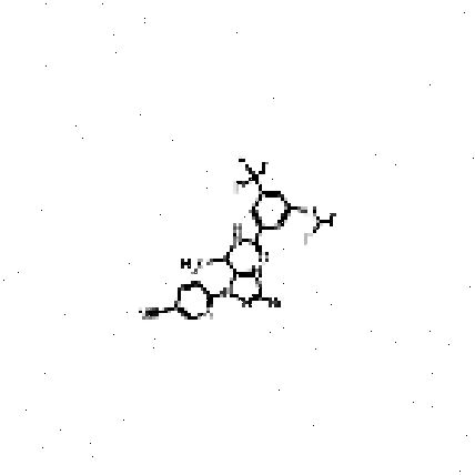 CC(NC(=O)c1cc(OC(F)F)cc(C(F)(F)F)c1)c1nc(Br)nn1-c1ccc(C#N)cn1